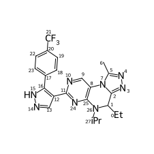 CCC1c2nnc(C)n2-c2cnc(-c3cn[nH]c3-c3ccc(C(F)(F)F)cc3)nc2N1C(C)C